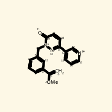 C=C(OC)c1cccc(Cn2nc(-c3cccnc3)ccc2=O)c1